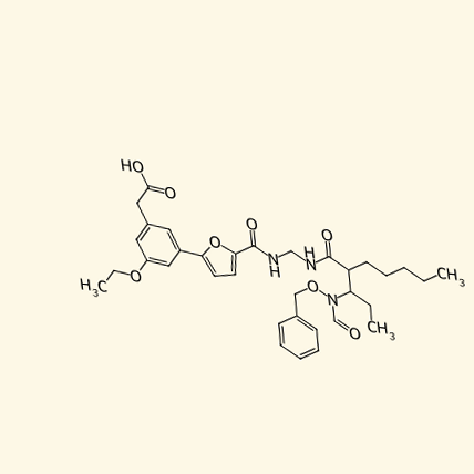 CCCCCC(C(=O)NCNC(=O)c1ccc(-c2cc(CC(=O)O)cc(OCC)c2)o1)C(CC)N(C=O)OCc1ccccc1